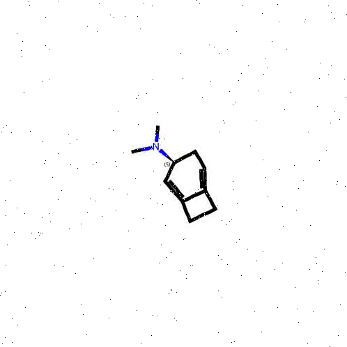 CN(C)[C@@H]1C=C2CCC2=CC1